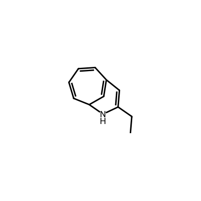 CCC1=CC2=CC(C=CC=C2)N1